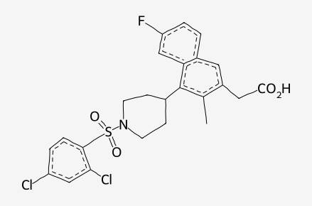 Cc1c(CC(=O)O)cc2ccc(F)cc2c1C1CCN(S(=O)(=O)c2ccc(Cl)cc2Cl)CC1